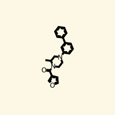 CC1CN(c2cccc(-c3ccccc3)c2)CCN1C(=O)c1ccoc1